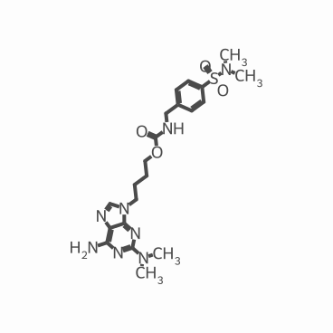 CN(C)c1nc(N)c2ncn(CCCCOC(=O)NCc3ccc(S(=O)(=O)N(C)C)cc3)c2n1